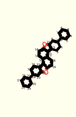 C1=C(c2ccccc2)CCc2c1oc1ccc3c(ccc4oc5cc(-c6ccccc6)ccc5c43)c21